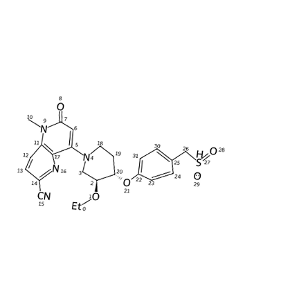 CCO[C@H]1CN(c2cc(=O)n(C)c3ccc(C#N)nc23)CC[C@@H]1Oc1ccc(C[SH](=O)=O)cc1